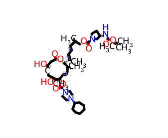 C/C(=C\C=C\[C@@H](C)COC(=O)N1CC[C@H](NC(=O)OC(C)(C)C)C1)[C@H]1OC(=O)C[C@@H](O)CC[C@](C)(O)[C@H](OC(=O)N2CCN(C3CCCCCC3)CC2)/C=C/[C@@H]1C